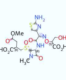 COC(=O)C[C@@H](C[S+]([O-])[C@@H]1[C@H](NC(=O)/C(=N\O[C@@H](CO)C(=O)O)c2csc(N)n2)C(=O)N1C)C(=O)O